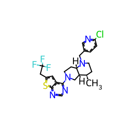 C[C@@H]1CCN(Cc2ccc(Cl)nc2)[C@H]2CCN(c3ncnc4sc(CC(F)(F)F)cc34)C[C@@H]12